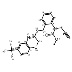 C#CCN(C(=O)OC)c1ccccc1CSC1=Nc2cc(C(F)(F)F)ccc2OC1